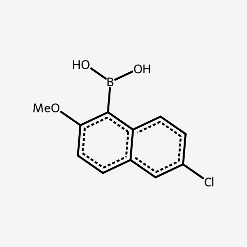 COc1ccc2cc(Cl)ccc2c1B(O)O